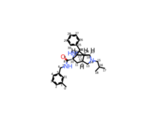 Cc1cccc(CNC(=O)[C@@]23C[C@@H]4CN(CC(C)C)[C@@H]([C@@H]4CN2)[C@H]3Cc2ccccc2)c1